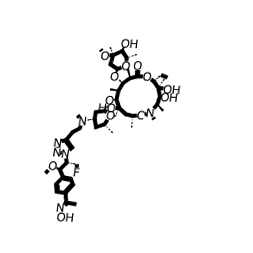 CC[C@H]1OC(=O)[C@H](C)[C@@H](O[C@H]2C[C@@](C)(OC)[C@@H](O)[C@H](C)O2)[C@H](C)[C@@H](O[C@H]2C[C@@H](N(C)CCc3cn([C@H](CF)[C@H](OC)c4ccc(/C(C)=N/O)cc4)nn3)C[C@@H](C)O2)[C@](C)(O)C[C@@H](C)CN(C)[C@H](C)[C@@H](O)[C@]1(C)O